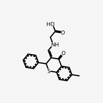 Cc1ccc2c(c1)C(=O)C(=CNCC(=O)O)C(c1ccccc1)S2